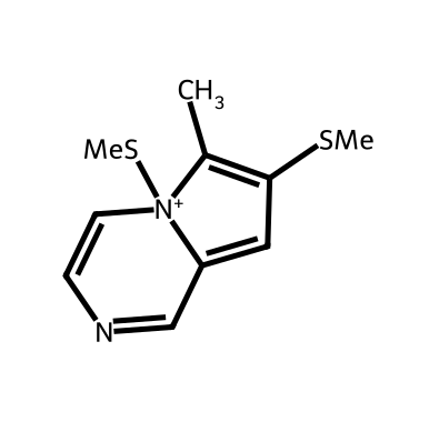 CSC1=C(C)[N+]2(SC)C=CN=CC2=C1